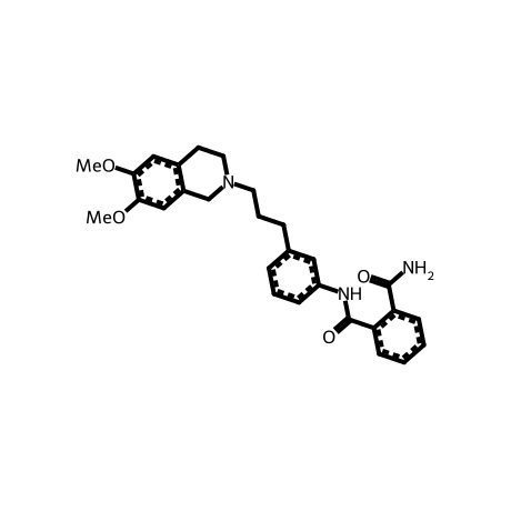 COc1cc2c(cc1OC)CN(CCCc1cccc(NC(=O)c3ccccc3C(N)=O)c1)CC2